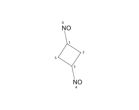 O=NC1CC(N=O)C1